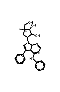 C[C@]1(CO)CC(N2C=C(c3ccccc3)C3C(Nc4ccccc4)=NC=NC32)C(O)C1O